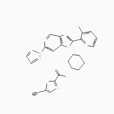 C#Cc1cnc(C(=O)N[C@H]2CCC[C@@H](n3c(-c4ncccc4F)nc4cnc(-n5nccn5)cc43)C2)s1